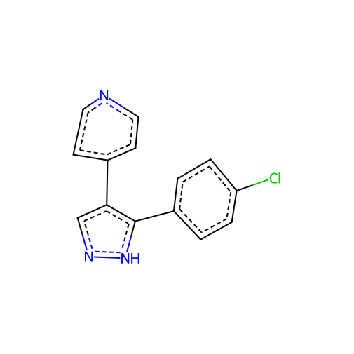 Clc1ccc(-c2[nH]ncc2-c2ccncc2)cc1